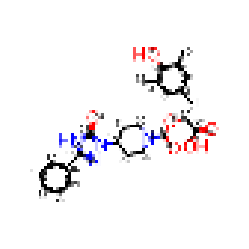 Cc1cc(C[C@@H](OC(=O)N2CCC(n3nc(-c4ccccc4)[nH]c3=O)CC2)C(=O)O)cc(C)c1O